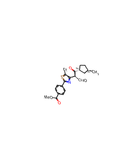 CCc1sc(-c2ccc(C(=O)OC)cc2)nc1C(C=O)C(=O)[C@@H]1CC[C@@H](C)C1